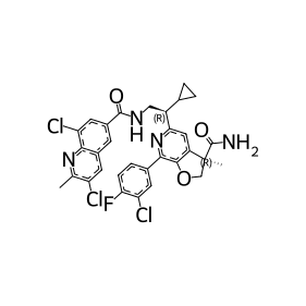 Cc1nc2c(Cl)cc(C(=O)NC[C@H](c3cc4c(c(-c5ccc(F)c(Cl)c5)n3)OC[C@]4(C)C(N)=O)C3CC3)cc2cc1Cl